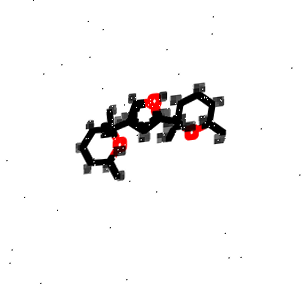 CC1CCC[Si](C)(c2coc([Si]3(C)CCCC(C)O3)c2)O1